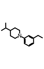 CCc1cccc(N2CCC(C(C)C)CC2)c1